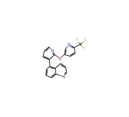 FC(F)(F)c1ccc(Oc2ncccc2-c2cccc3ncccc23)cn1